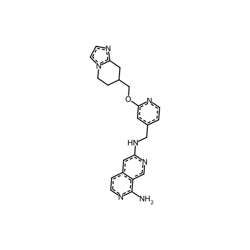 Nc1nccc2cc(NCc3ccnc(OCC4CCn5ccnc5C4)c3)ncc12